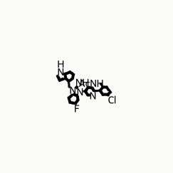 CC(=O)Nc1ccc(Cl)cc1-c1ccc(-n2c(=N)n(Cc3cccc4[nH]ccc34)c3ccc(F)cc32)cn1